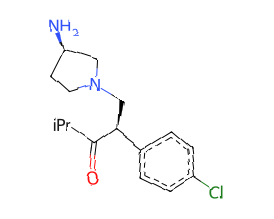 CC(C)C(=O)[C@@H](CN1CC[C@@H](N)C1)c1ccc(Cl)cc1